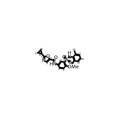 COc1ccc(NC(=O)c2cnc(C3CC3)o2)cc1S(=O)(=O)Nc1c(C)cccc1C